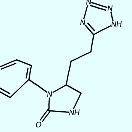 O=C1NCC(CCc2nnn[nH]2)N1c1ccccc1